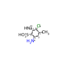 Cc1cc(N)c(S(=O)(=O)O)cc1Cl.[NaH]